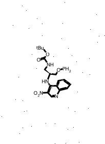 CC(C)(C)OC(=O)NC[C@@H](COP)Nc1c([N+](=O)[O-])cnc2ccccc12